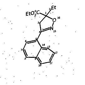 CCOC(=O)C1(CC)CC(c2cccc3ccccc23)=NO1